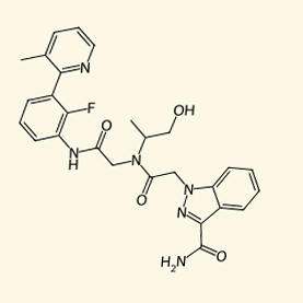 Cc1cccnc1-c1cccc(NC(=O)CN(C(=O)Cn2nc(C(N)=O)c3ccccc32)C(C)CO)c1F